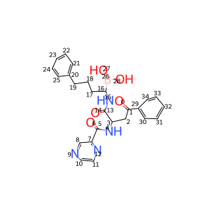 O=C(CC(NC(=O)c1cnccn1)C(=O)NC(CCCc1ccccc1)B(O)O)c1ccccc1